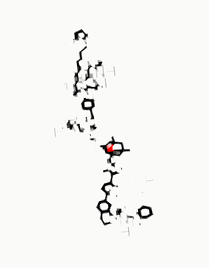 Cc1c(-c2ccc(-c3ccc4c(c3)N(C(=O)Nc3nc5ccccc5s3)CCC4)nc2C(=O)O)cnn1CC12CC3(C)CC(C)(C1)CC(OCCN(CCP(=O)(O)O)C(=O)OCc1ccc(N(C(=O)[C@@H](NC(=O)CCCCCN4C(=O)C=CC4=O)C(C)C)[C@@H](CCCNC(N)=O)C(N)=O)cc1)(C3)C2